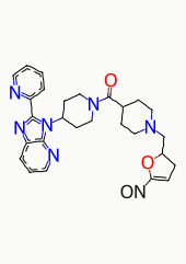 O=NC1=CCC(CN2CCC(C(=O)N3CCC(n4c(-c5ccccn5)nc5cccnc54)CC3)CC2)O1